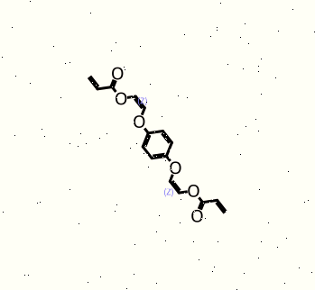 C=CC(=O)O/C=C\Oc1ccc(O/C=C\OC(=O)C=C)cc1